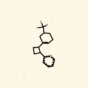 FC(F)(F)C1CCC=C([C]2CCC2c2ccccn2)C1